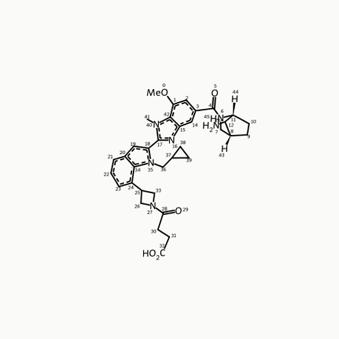 COc1cc(C(=O)N2C[C@H]3CC[C@@H]2[C@@H]3N)cc2nc(-c3cc4cccc(C5CN(C(=O)CCC(=O)O)C5)c4n3CC3CC3)n(C)c12